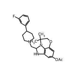 CC(=O)Oc1cc2c3c(c1)OCC(C)(C)N3C(CN1CCC(c3cccc(F)c3)CC1)N2